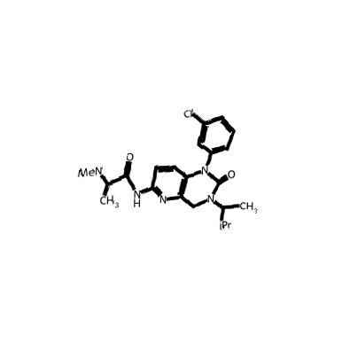 CNC(C)C(=O)Nc1ccc2c(n1)CN(C(C)C(C)C)C(=O)N2c1cccc(Cl)c1